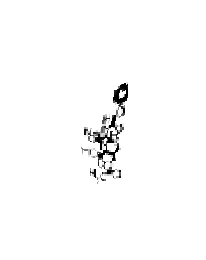 CC(=O)OCC1=C(C(=O)O)N2C(=O)C(NC(=O)COc3ccccc3)[C@H]2SC1.[NaH]